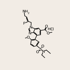 CCN(CC)S(=O)(=O)c1ccc(OC)c(-c2cc(C(=O)OC)cc3c2ncn3C/C(F)=C/CN)c1.Cl